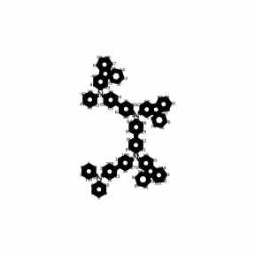 c1ccc(N(c2ccccc2)c2ccc(-c3ccc(N(c4ccc(-c5ccc(N(c6ccc(-c7ccc(N(c8ccccc8)c8ccc9c(c8)C8(CCCCC8)c8ccccc8-9)cc7)cc6)c6ccc7c(c6)C6(CCCCC6)c6ccccc6-7)cc5)cc4)c4ccc5c(c4)C4(CCCCC4)c4ccccc4-5)cc3)cc2)cc1